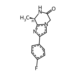 C[C@H]1NC(=O)Cn2cc(-c3ccc(F)cc3)nc21